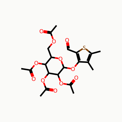 CC(=O)OCC1OC(Oc2c(C=O)sc(C)c2C)C(OC(C)=O)C(OC(C)=O)C1OC(C)=O